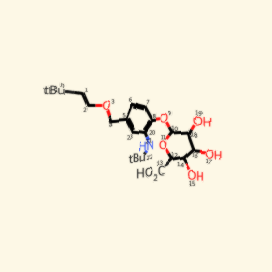 CC(C)(C)CCOCc1ccc(OC2OC(C(=O)O)C(O)C(O)C2O)c(NC(C)(C)C)c1